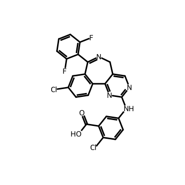 O=C(O)c1cc(Nc2ncc3c(n2)-c2ccc(Cl)cc2C(c2c(F)cccc2F)=NC3)ccc1Cl